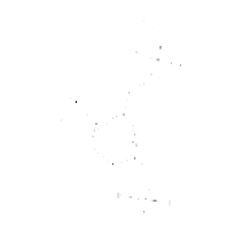 CCC(C)(C)CCc1cc(OC(F)(F)F)ccc1C(C)(C)C